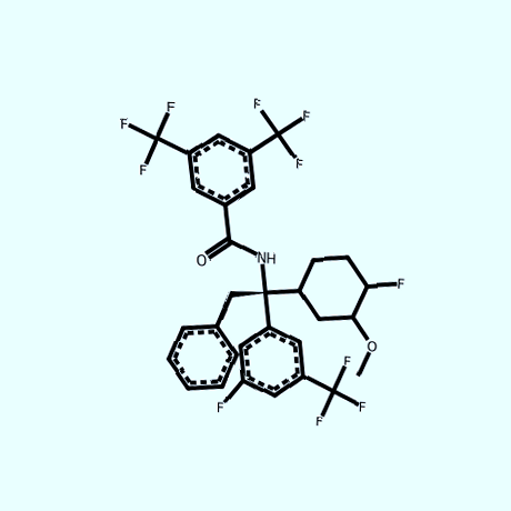 COC1CC([C@@](Cc2ccccc2)(NC(=O)c2cc(C(F)(F)F)cc(C(F)(F)F)c2)c2cc(F)cc(C(F)(F)F)c2)CCC1F